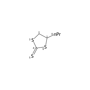 CCCC1CSC(=S)S1